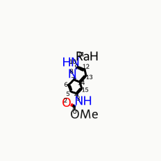 COC(=O)Nc1ccc2nc([NH][RaH])ccc2c1